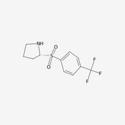 O=S(=O)(c1ccc(C(F)(F)F)cc1)[C@@H]1CCCN1